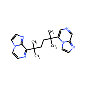 CC(C)(CCC(C)(C)c1cncc2nccn12)c1nccn2ccnc12